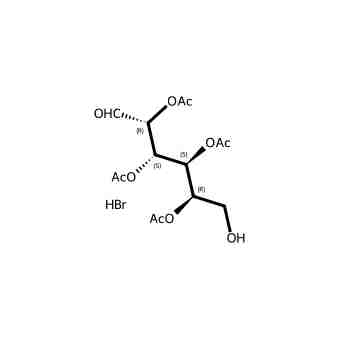 Br.CC(=O)O[C@H]([C@H](OC(C)=O)[C@H](C=O)OC(C)=O)[C@@H](CO)OC(C)=O